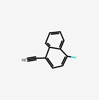 C#Cc1ccc(F)c2ccccc12